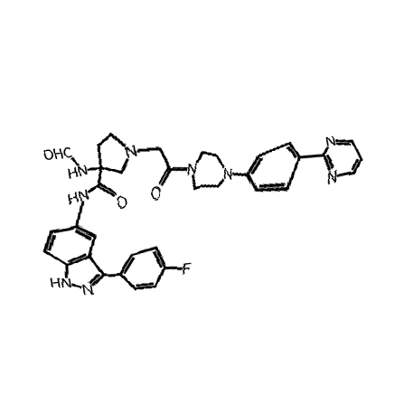 O=CNC1(C(=O)Nc2ccc3[nH]nc(-c4ccc(F)cc4)c3c2)CCN(CC(=O)N2CCN(c3ccc(-c4ncccn4)cc3)CC2)C1